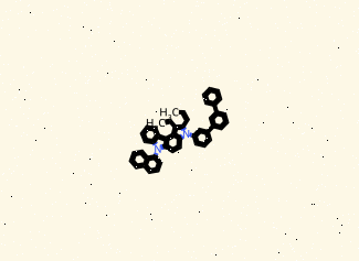 C=Cc1c(/C=C\C)n(-c2cccc(-c3cccc(-c4ccccc4)c3)c2)c2ccc3c(c4ccccc4n3-c3cccc4ccccc34)c12